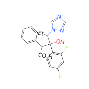 CCC(n1cncn1)C(O)(c1ccc(F)cc1F)C(C(=O)O)c1ccccc1